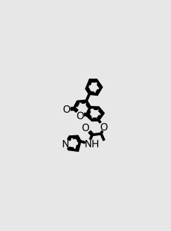 CC(Oc1ccc2c(-c3ccccc3)cc(=O)oc2c1)C(=O)Nc1ccncc1